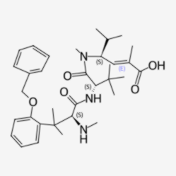 CN[C@H](C(=O)N[C@H](C(=O)N(C)[C@H](/C=C(\C)C(=O)O)C(C)C)C(C)(C)C)C(C)(C)c1ccccc1OCc1ccccc1